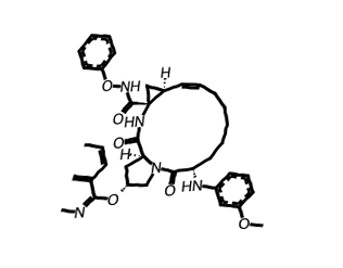 C=C(/C=C\C)/C(=N\C)O[C@@H]1C[C@H]2C(=O)N[C@]3(C(=O)NOc4ccccc4)C[C@H]3/C=C\CCCCC[C@H](Nc3cccc(OC)c3)C(=O)N2C1